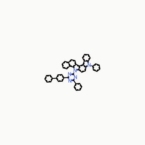 c1ccc(-c2ccc(-c3nc(-c4ccccc4)nc(-n4c5ccc6c(c7ccccc7n6-c6ccccc6)c5c5ccc6ccccc6c54)n3)cc2)cc1